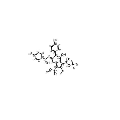 CCc1c(C(=O)OC(C)(C)C)[nH]c(CN(C[C@H](O)c2ccc(F)cc2)C(CO)c2ccc(F)cc2)c1C(=O)OC